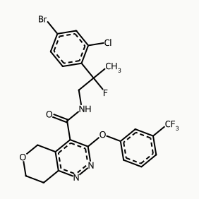 CC(F)(CNC(=O)c1c(Oc2cccc(C(F)(F)F)c2)nnc2c1COCC2)c1ccc(Br)cc1Cl